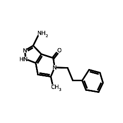 Cc1cc2[nH]nc(N)c2c(=O)n1CCc1ccccc1